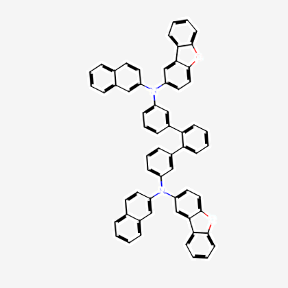 c1cc(-c2ccccc2-c2cccc(N(c3ccc4ccccc4c3)c3ccc4oc5ccccc5c4c3)c2)cc(N(c2ccc3ccccc3c2)c2ccc3oc4ccccc4c3c2)c1